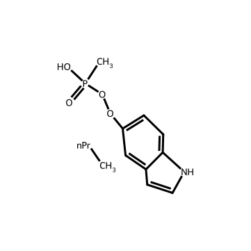 CCCC.CP(=O)(O)OOc1ccc2[nH]ccc2c1